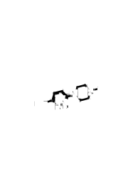 CC(C)c1ccc(N2CCN(C)CC2)nn1